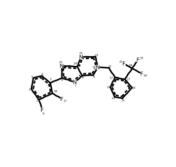 Fc1cccc(-c2nc3cn(Cc4ccccc4C(F)(F)F)cnc-3n2)c1F